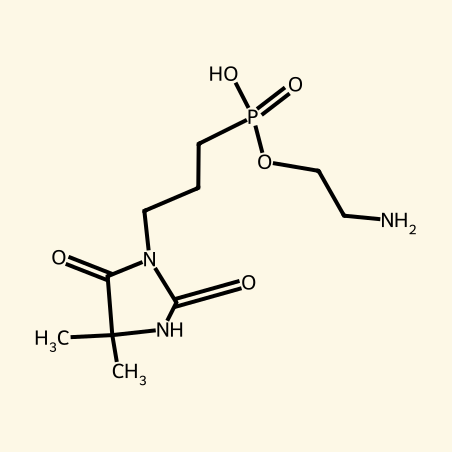 CC1(C)NC(=O)N(CCCP(=O)(O)OCCN)C1=O